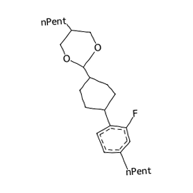 CCCCCc1ccc(C2CCC(C3OCC(CCCCC)CO3)CC2)c(F)c1